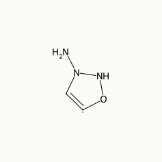 NN1C=[C]ON1